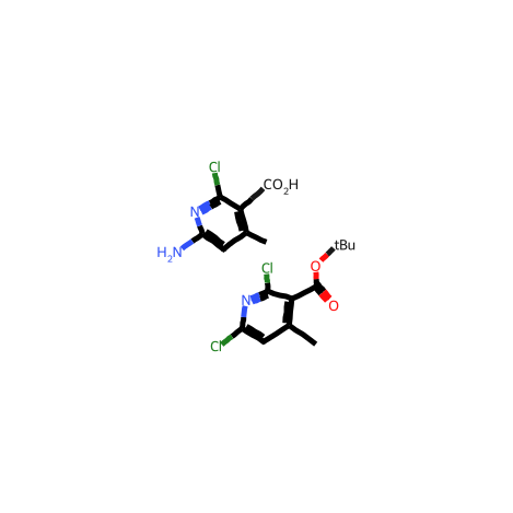 Cc1cc(Cl)nc(Cl)c1C(=O)OC(C)(C)C.Cc1cc(N)nc(Cl)c1C(=O)O